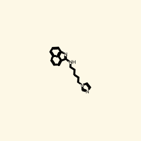 c1cc2c3c(cccc3c1)C(NCCCCCn1ccnc1)=N2